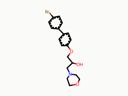 OC(COc1ccc(-c2ccc(Br)cc2)cc1)CN1CCOCC1